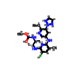 COc1ncc(Nc2nc(N[C@H](C)[C@H](C)NC(=O)OC(C)(C)C)c(F)cc2C#N)cc1-n1nccn1